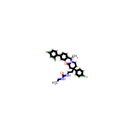 CCNC(=O)NCCC1(c2ccc(F)cc2)CCN([C@@H](C)c2ccc(-c3ccc(F)cc3F)cc2)C(=O)C1